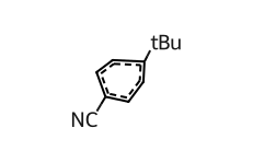 CC(C)(C)c1ccc(C#N)cc1